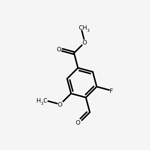 COC(=O)c1cc(F)c(C=O)c(OC)c1